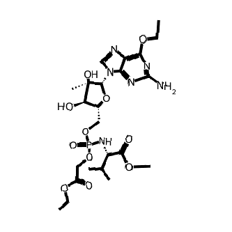 CCOC(=O)COP(=O)(N[C@H](C(=O)OC)C(C)C)OC[C@H]1O[C@@H](n2cnc3c(OCC)nc(N)nc32)[C@](C)(O)[C@@H]1O